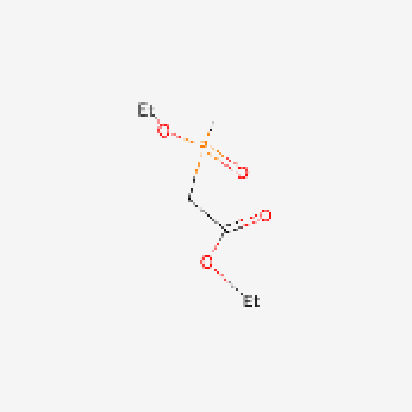 CCOC(=O)CP(C)(=O)OCC